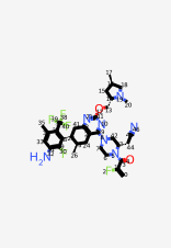 C=C(F)C(=O)N1CCN(c2nc(OC[C@@H]3C[C@@H](C)CN3C)nc3c2C[C@@H](C)[C@H](c2c(F)c(N)cc(C)c2C(F)(F)F)C3)C[C@@H]1CC#N